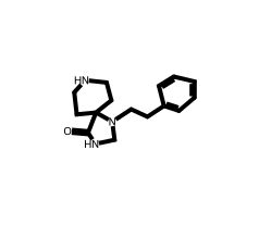 O=C1NCN(CCc2ccccc2)C12CCNCC2